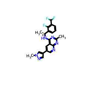 Cc1nc(N[C@H](C)c2cccc(C(F)F)c2F)c2cc(-c3cnn(C)c3)cnc2n1